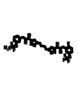 CC(F)(F)Oc1cccc(CNC(=O)c2cn(CCCCn3cc(NC(=O)Cc4cc(OC(F)(F)F)ccc4F)nn3)nn2)c1